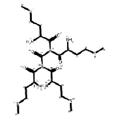 CSCCC(N)C(=O)N(C(=O)C(N)CCSC)C(=O)N(C(=O)C(N)CCSC)C(=O)C(N)CCSC